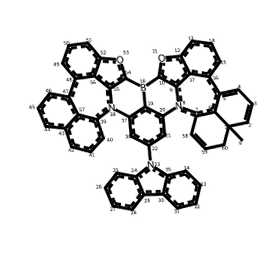 CC12C=CC=c3c1c(n1c4c(oc5cccc3c54)B3c4c-1cc(-n1c5ccccc5c5ccccc51)cc4-n1c4cccc5cccc(c6cccc7oc3c1c76)c54)C=CC2